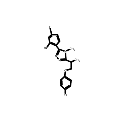 CC(COc1ccc(Cl)cc1)c1nnc(-c2ccc(F)cc2Br)n1C